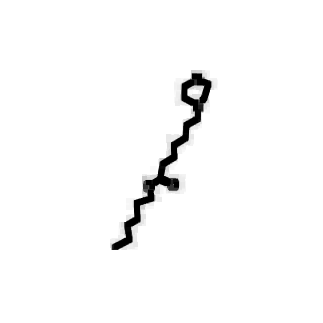 CCCCCCOC(=O)CCCCCCN1CC[N]CC1